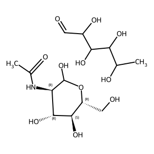 CC(=O)N[C@H]1C(O)O[C@H](CO)[C@@H](O)[C@@H]1O.CC(O)C(O)C(O)C(O)C=O